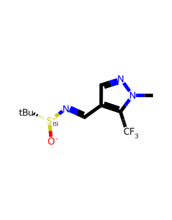 Cn1ncc(C=N[S@+]([O-])C(C)(C)C)c1C(F)(F)F